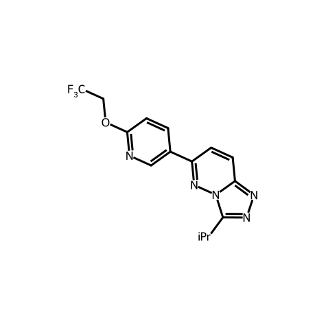 CC(C)c1nnc2ccc(-c3ccc(OCC(F)(F)F)nc3)nn12